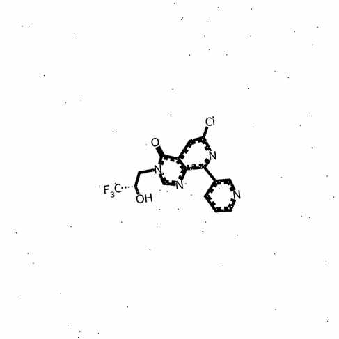 O=c1c2cc(Cl)nc(-c3cccnc3)c2ncn1C[C@H](O)C(F)(F)F